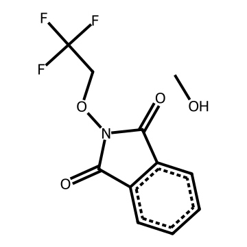 CO.O=C1c2ccccc2C(=O)N1OCC(F)(F)F